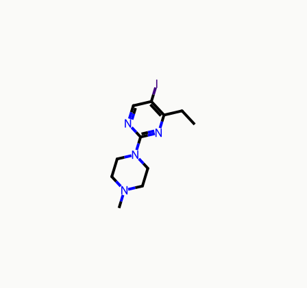 CCc1nc(N2CCN(C)CC2)ncc1I